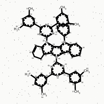 Cc1cc(C)cc(-c2nc(-c3cc(C)cc(C)c3)nc(-n3c4c(c5c3c3c(c6ccccc6n3-c3ccccc3)n5-c3nc(-c5cc(C)cc(C)c5)nc(-c5cc(C)cc(C)c5)n3)CCC=C4)n2)c1